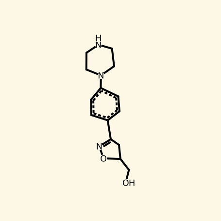 OCC1CC(c2ccc(N3CCNCC3)cc2)=NO1